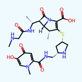 CNCC(=O)N[C@H](C)[C@H]1C(=O)N2C(C(=O)O)=C(S[C@@H]3CN[C@H](CNC(=O)c4cc(=O)c(O)cn4C)C3)[C@H](C)[C@H]12